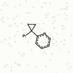 CC(C)C1(c2ccccn2)CC1